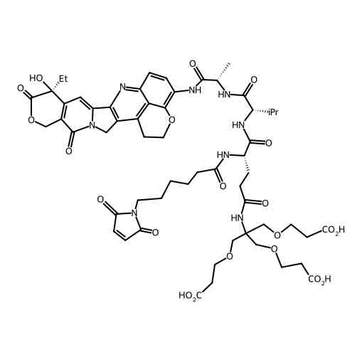 CC[C@@]1(O)C(=O)OCc2c1cc1n(c2=O)Cc2c-1nc1ccc(NC(=O)[C@H](C)NC(=O)[C@@H](NC(=O)[C@H](CCC(=O)NC(COCCC(=O)O)(COCCC(=O)O)COCCC(=O)O)NC(=O)CCCCCN3C(=O)C=CC3=O)C(C)C)c3c1c2CCO3